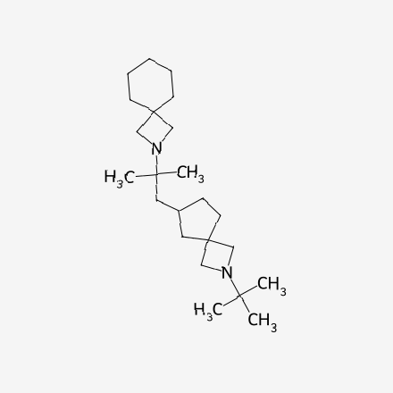 CC(C)(C)N1CC2(CCC(CC(C)(C)N3CC4(CCCCC4)C3)C2)C1